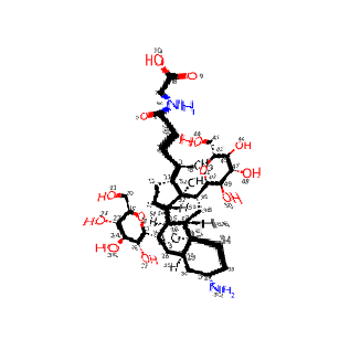 C[C@H](CCC(=O)NCC(=O)O)[C@H]1CC[C@H]2[C@@H]3[C@@H](C4O[C@H](CO)[C@@H](O)[C@H](O)[C@H]4O)C[C@@H]4C[C@@H](N)CC[C@]4(C)[C@H]3C[C@@H]([C@@H]3O[C@H](CO)[C@@H](O)[C@H](O)[C@H]3O)[C@]12C